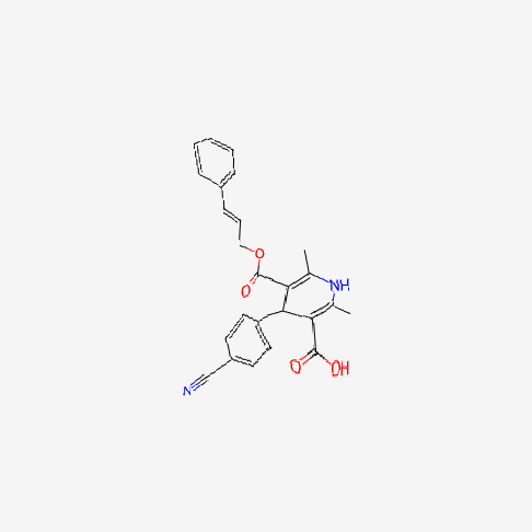 CC1=C(C(=O)O)C(c2ccc(C#N)cc2)C(C(=O)OC/C=C/c2ccccc2)=C(C)N1